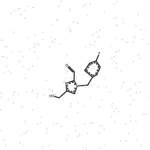 O=Cc1nc(CO)cn1Cc1ccc(F)cc1